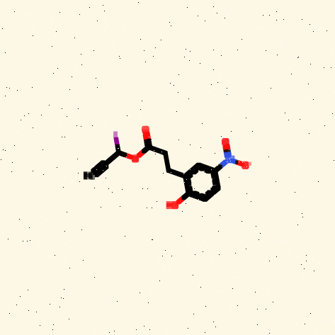 C#CC(I)OC(=O)CCc1cc([N+](=O)[O-])ccc1O